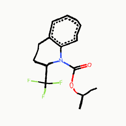 CC(C)OC(=O)N1c2ccccc2CCC1C(F)(F)F